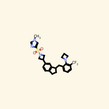 Cn1cnc(S(=O)(=O)N2CC(c3ccc4c(c3)C(Cc3cccc(C(F)(F)F)c3N3CCC3)CC4)C2)c1